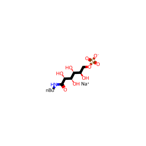 CCCCNC(=O)[C@H](O)[C@@H](O)[C@H](O)[C@H](O)COS(=O)(=O)[O-].[Na+]